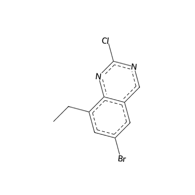 CCc1cc(Br)cc2cnc(Cl)nc12